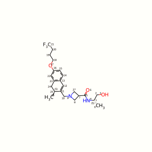 C[C@@H](CO)NC(=O)C1CN(CC2=Cc3ccc(OCCCC(F)(F)F)cc3C[C@@H]2C)C1